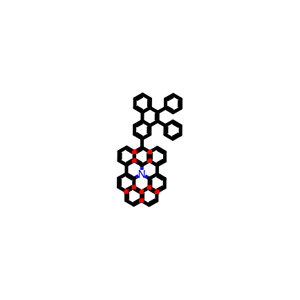 c1ccc(-c2cccc(-c3ccccc3)c2N(c2ccc(-c3ccc4c(c3)c(-c3ccccc3)c(-c3ccccc3)c3ccccc34)cc2)c2c(-c3ccccc3)cccc2-c2ccccc2)cc1